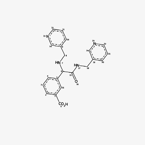 O=C(O)c1cccc(C(NCc2cccnc2)C(=O)NCc2cccnc2)c1